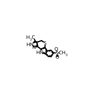 Cc1[nH]nc2c1CSc1c-2[nH]c2ccc(S(C)(=O)=O)cc12